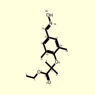 CCOC(=O)C(C)(C)Oc1c(C)cc(/C=N/O)cc1C